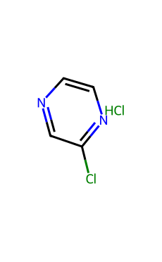 Cl.Clc1cnccn1